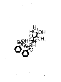 CC(O)C(C)C(O)C(F)(F)F.O=S(=O)(O)c1ccccc1.O=S(=O)(O)c1ccccc1